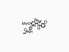 C=CC(=O)NC1CN(c2nc3c(Nc4cccc(Cl)c4F)ncnc3cc2OC)C1